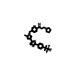 Cc1cc(-c2nc(-c3ccc(C(C)(C)C(F)(F)F)cc3)no2)cn1Cc1ccc(NCCN2CCCC2)nc1